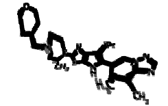 Cc1c(-c2[nH]c3sc(N4CCN(CC5CCOCC5)C[C@H]4C)nc3c2C(C)C)cn2ncnc2c1C